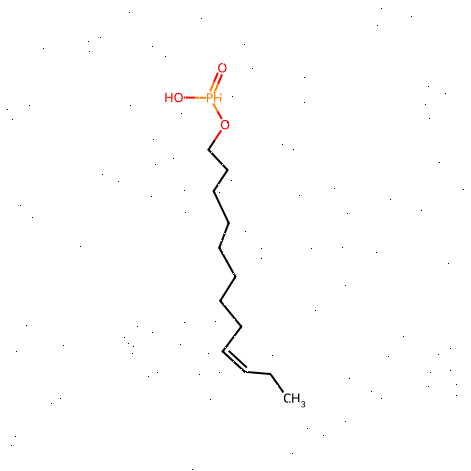 CC/C=C\CCCCCCCCO[PH](=O)O